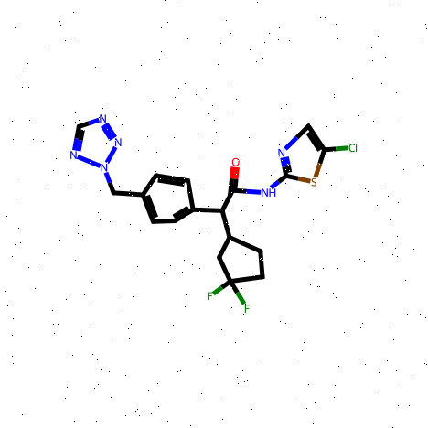 O=C(Nc1ncc(Cl)s1)C(c1ccc(Cn2ncnn2)cc1)C1CCC(F)(F)C1